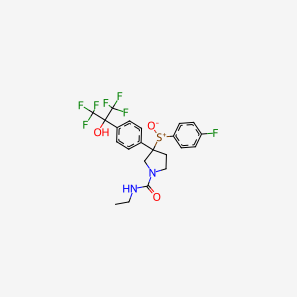 CCNC(=O)N1CCC(c2ccc(C(O)(C(F)(F)F)C(F)(F)F)cc2)([S+]([O-])c2ccc(F)cc2)C1